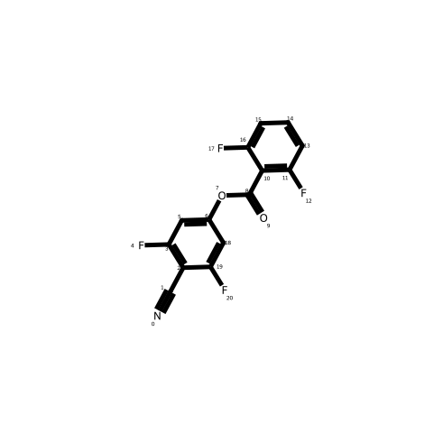 N#Cc1c(F)cc(OC(=O)c2c(F)cccc2F)cc1F